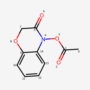 CC(=O)ON1C(=O)COc2ccccc21